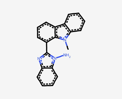 Cn1c2ccccc2c2cccc(-c3nc4ccccc4n3N)c21